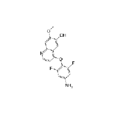 COc1cc2nccc(Oc3c(F)cc(N)cc3F)c2cc1O